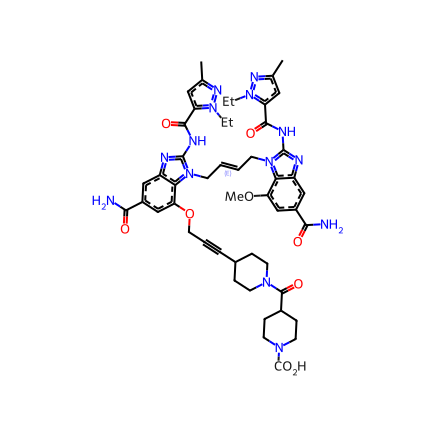 CCn1nc(C)cc1C(=O)Nc1nc2cc(C(N)=O)cc(OC)c2n1C/C=C/Cn1c(NC(=O)c2cc(C)nn2CC)nc2cc(C(N)=O)cc(OCC#CC3CCN(C(=O)C4CCN(C(=O)O)CC4)CC3)c21